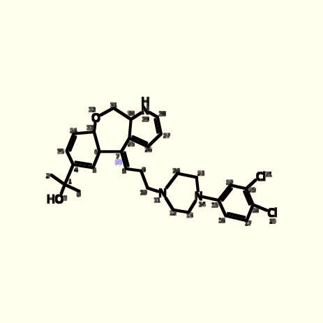 CC(C)(O)C1=CC2/C(=C/CCN3CCN(c4ccc(Cl)c(Cl)c4)CC3)C3=CC=CNC3COC2C=C1